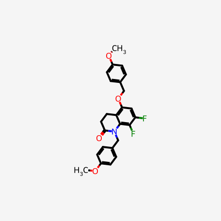 COc1ccc(COc2cc(F)c(F)c3c2CCC(=O)N3Cc2ccc(OC)cc2)cc1